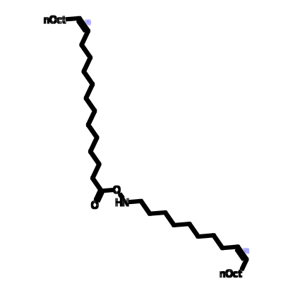 CCCCCCCC/C=C\CCCCCCCCCCCC(=O)ONCCCCCCCC/C=C\CCCCCCCC